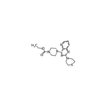 CCOC(=O)N1CCN(c2nc(N3CCSCC3)nc3cccnc23)CC1